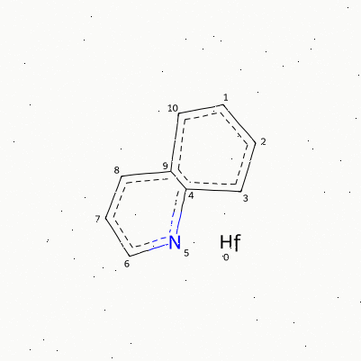 [Hf].c1ccc2ncccc2c1